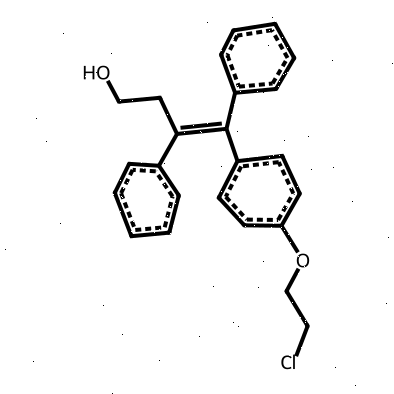 OCC/C(=C(\c1ccccc1)c1ccc(OCCCl)cc1)c1ccccc1